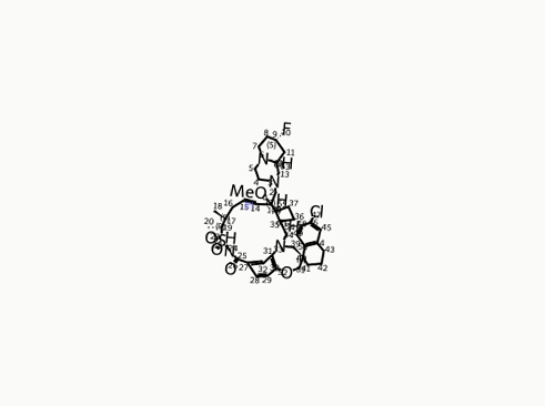 CO[C@]1(CN2CCN3CC[C@H](F)C[C@H]3C2)/C=C/C[C@H](C)[C@@H](C)S(=O)(=O)NC(=O)c2ccc3c(c2)N(C[C@@H]2CC[C@H]21)C[C@@]1(CCCc2cc(Cl)ccc21)CO3